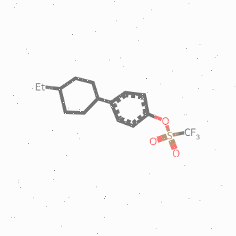 [CH2]CC1CCC(c2ccc(OS(=O)(=O)C(F)(F)F)cc2)CC1